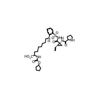 C=C[C@@H]1C[C@]1(NC(=O)C1CCCN1)C(=O)NS(=O)(=O)c1ccccc1NCCCCCCCC(NC(=O)OC1CCCC1)C(=O)O